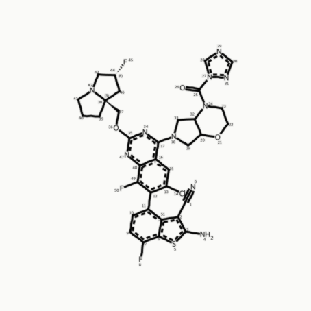 N#Cc1c(N)sc2c(F)ccc(-c3c(Cl)cc4c(N5CC6OCCN(C(=O)n7cncn7)C6C5)nc(OC[C@@]56CCCN5C[C@H](F)C6)nc4c3F)c12